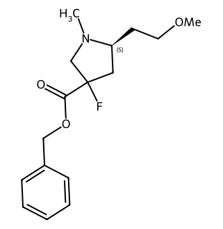 COCC[C@H]1CC(F)(C(=O)OCc2ccccc2)CN1C